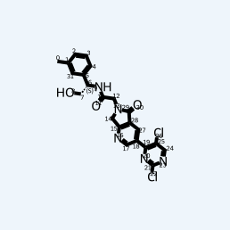 Cc1cccc([C@@H](CO)NC(=O)CN2Cc3ncc(-c4nc(Cl)ncc4Cl)cc3C2=O)c1